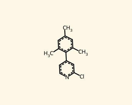 Cc1cc(C)c(-c2ccnc(Cl)c2)c(C)c1